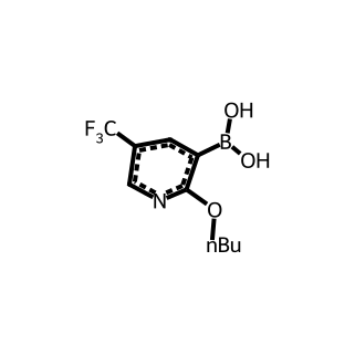 CCCCOc1ncc(C(F)(F)F)cc1B(O)O